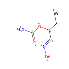 CC(C)CC(C=NO)OC(N)=O